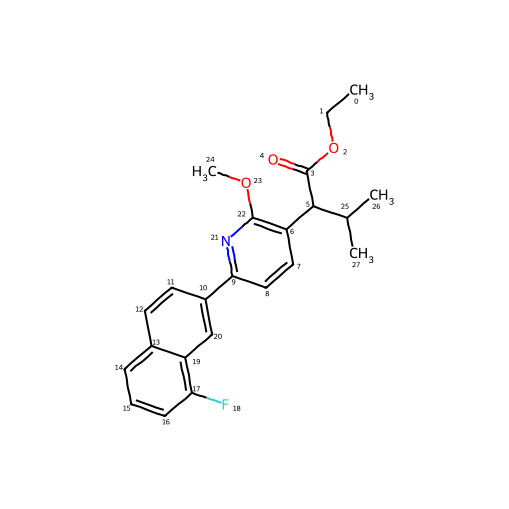 CCOC(=O)C(c1ccc(-c2ccc3cccc(F)c3c2)nc1OC)C(C)C